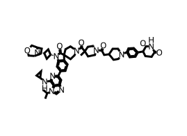 CC(C)n1cnc2cc(-c3ccc4c(c3)N([C@H]3C[C@@H](N5C6CCC5COC6)C3)C(=O)C43CCN(C(=O)C4(C)CCN(C(=O)CC5CCN(c6ccc(C7CCC(=O)NC7=O)cc6)CC5)CC4)CC3)nc(NC3CC3)c21